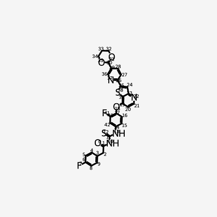 O=C(Cc1ccc(F)cc1)NC(=S)Nc1ccc(Oc2ccnc3cc(-c4ccc(C5OCCCO5)cn4)sc23)c(F)c1